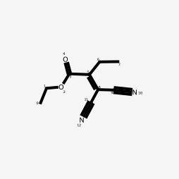 CCOC(=O)C(CC)=C(C#N)C#N